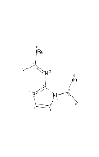 C/C(=N\c1nccn1C(C)C(C)C)C(C)(C)C